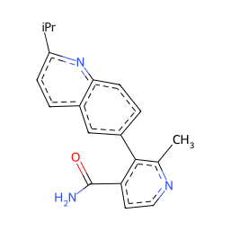 Cc1nccc(C(N)=O)c1-c1ccc2nc(C(C)C)ccc2c1